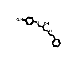 O=[N+]([O-])c1ccc(OCC(O)CNCCc2ccccc2)cc1